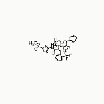 COC(=O)c1csc(NC(=O)[C@H](Cc2ccccc2C(F)(F)F)[N+]2(C3=C(Cc4ccccc4)OCO3)C(=O)CNC2=O)n1